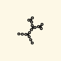 c1ccc(-c2ccc(-c3ccc(N(c4ccc(-c5ccc(-c6ccccc6)cc5)cc4)c4ccc(-c5ccc(-n6c7ccc(-c8ccc9c(c8)c8ccccc8n9-c8ccccc8)cc7c7cc(-c8ccc9c(c8)c8ccccc8n9-c8ccccc8)ccc76)cc5)cc4)cc3)cc2)cc1